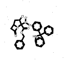 CC[S+]([O-])C1(C(=O)OCc2ccccc2)C(Cl)CC2CC(=O)N21.c1ccc(C2(c3ccccc3)Nc3cccc2c3)cc1